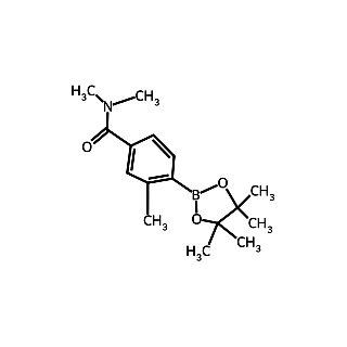 Cc1cc(C(=O)N(C)C)ccc1B1OC(C)(C)C(C)(C)O1